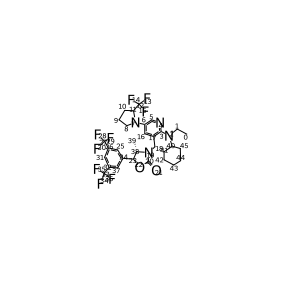 CCN(c1ncc(N2CCCC2C(F)(F)F)cc1CN1C(=O)OC(c2cc(C(F)(F)F)cc(C(F)(F)F)c2)[C@@H]1C)C1CCCCC1